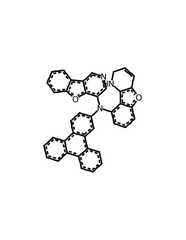 C1=Cc2oc3cccc(N(c4ccc5c6ccccc6c6ccccc6c5c4)c4cncc5c4oc4ccccc45)c3c2NC1